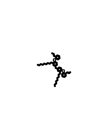 CC=Cc1ccccc1Oc1ccc(Cc2ccc(Oc3ccccc3C=CC)c(CCCCCCCCC)c2)cc1CCCCCCCCC